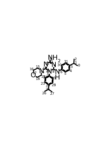 CC(C)c1ccc(NC2N=C(N)N=C(N3CCOCC3)N2c2ccc(C(C)C)cc2)cc1